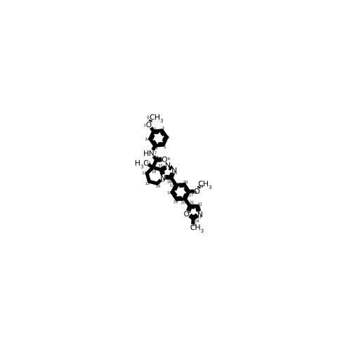 COc1cccc(NC(=O)C2(C)CCCn3c(-c4ccc(-c5cnc(C)o5)c(OC)c4)nnc32)c1